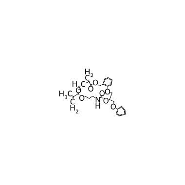 C=C(C)C(=O)OCCCNC(=O)OC(COc1ccccc1)COc1ccccc1COC(=O)C(=C)C